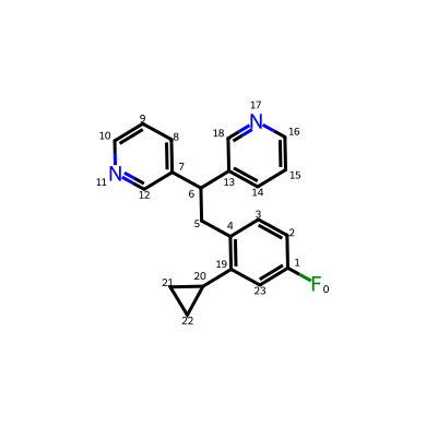 Fc1ccc(CC(c2cccnc2)c2cccnc2)c(C2CC2)c1